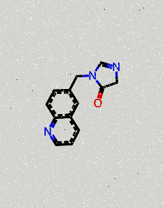 O=C1CN=CN1Cc1ccc2ncccc2c1